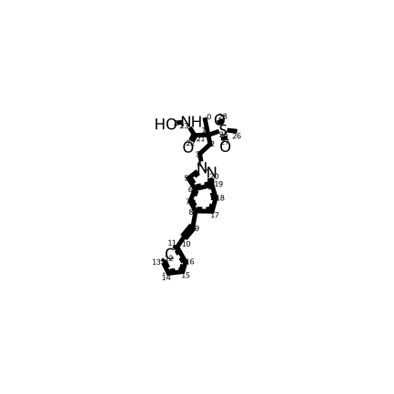 CC(CCn1cc2cc(C#Cc3cc[c]cc3)ccc2n1)(C(=O)NO)S(C)(=O)=O